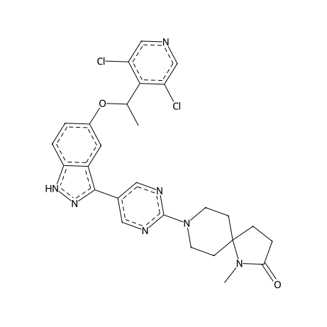 CC(Oc1ccc2[nH]nc(-c3cnc(N4CCC5(CCC(=O)N5C)CC4)nc3)c2c1)c1c(Cl)cncc1Cl